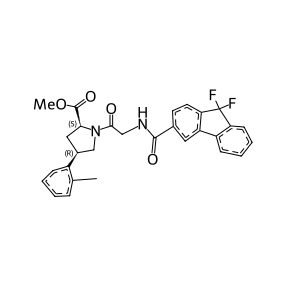 COC(=O)[C@@H]1C[C@H](c2ccccc2C)CN1C(=O)CNC(=O)c1ccc2c(c1)-c1ccccc1C2(F)F